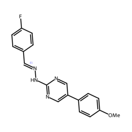 COc1ccc(-c2cnc(N/N=C/c3ccc(F)cc3)nc2)cc1